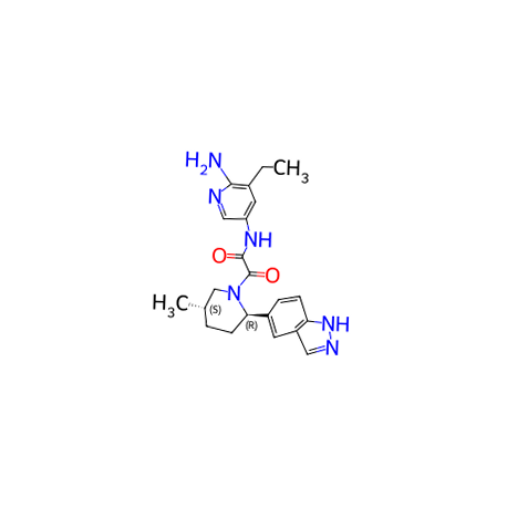 CCc1cc(NC(=O)C(=O)N2C[C@@H](C)CC[C@@H]2c2ccc3[nH]ncc3c2)cnc1N